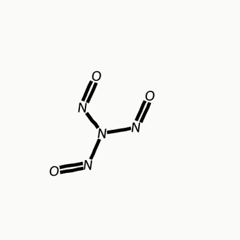 O=NN(N=O)N=O